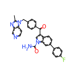 Cc1nc2cnccc2n1Cc1ccc(C(=O)c2cn(C(N)=O)c3cc(-c4ccc(F)cc4)ccc23)cc1